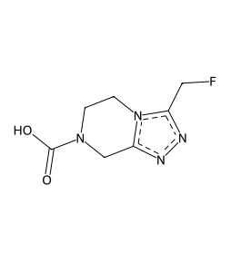 O=C(O)N1CCn2c(CF)nnc2C1